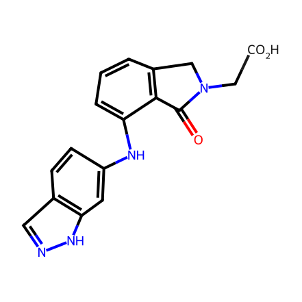 O=C(O)CN1Cc2cccc(Nc3ccc4cn[nH]c4c3)c2C1=O